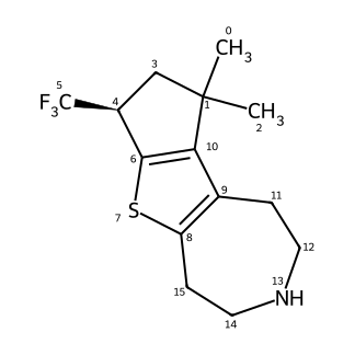 CC1(C)C[C@H](C(F)(F)F)c2sc3c(c21)CCNCC3